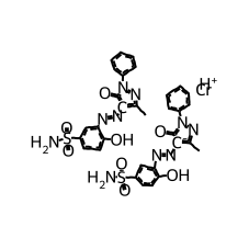 Cc1nn(-c2ccccc2)c(=O)[c-]1N=Nc1cc(S(N)(=O)=O)ccc1O.Cc1nn(-c2ccccc2)c(=O)[c-]1N=Nc1cc(S(N)(=O)=O)ccc1O.[Cr].[H+]